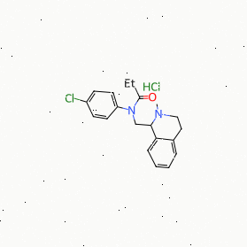 CCC(=O)N(CC1c2ccccc2CCN1C)c1ccc(Cl)cc1.Cl